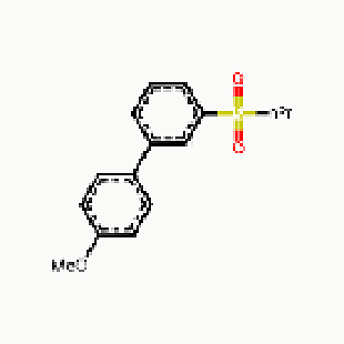 CCCS(=O)(=O)c1[c]c(-c2ccc(OC)cc2)ccc1